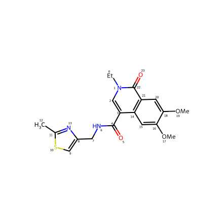 CCn1cc(C(=O)NCc2csc(C)n2)c2cc(OC)c(OC)cc2c1=O